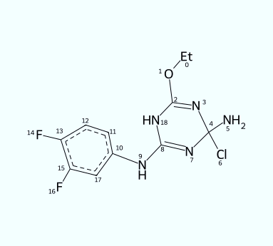 CCOC1=NC(N)(Cl)N=C(Nc2ccc(F)c(F)c2)N1